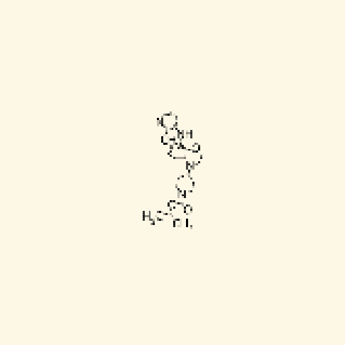 Cc1ncccc1Nc1cccc2c1OCCN2C1CCN(C(=O)OC(C)C)CC1